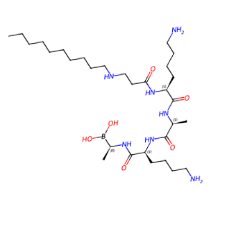 CCCCCCCCCCNCCC(=O)N[C@@H](CCCCN)C(=O)N[C@@H](C)C(=O)N[C@@H](CCCCN)C(=O)N[C@@H](C)B(O)O